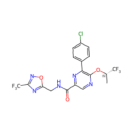 C[C@H](Oc1ncc(C(=O)NCc2nc(C(F)(F)F)no2)nc1-c1ccc(Cl)cc1)C(F)(F)F